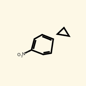 C1CC1.O=[N+]([O-])c1ccccc1